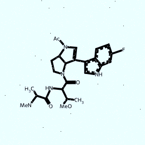 CNC(C)C(=O)NC(C(=O)N1CCC2C1C(c1c[nH]c3cc(F)ccc13)=CN2C(C)=O)C(C)OC